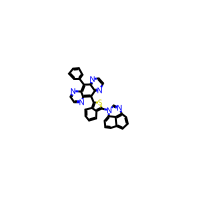 C1=Nc2cccc3cccc(c23)N1c1sc(-c2c3nccnc3c(-c3ccccc3)c3nccnc23)c2ccccc12